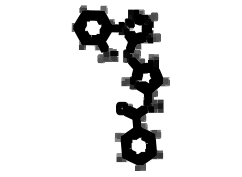 CCc1ccccc1-n1nnnc1Sc1ncc(NC(=O)c2ccccc2)s1